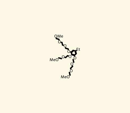 CCc1cc(OCCOCCOCCOC)c(OCCOCCOC)c(OCCOCCOCCOC)c1